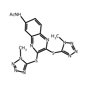 CC(=O)Nc1ccc2nc(Sc3nnnn3C)c(Sc3nnnn3C)nc2c1